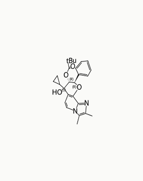 Cc1nc2c3c(ccn2c1C)[C@@](O)(C1CC1)[C@H](OC(=O)C(C)(C)C)[C@@H](c1ccccc1)O3